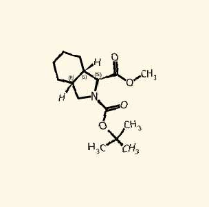 COC(=O)[C@@H]1[C@H]2CCCC[C@H]2CN1C(=O)OC(C)(C)C